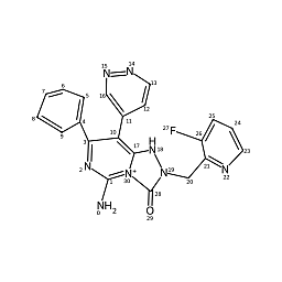 Nc1nc(-c2ccccc2)c(-c2ccnnc2)c2[nH]n(Cc3ncccc3F)c(=O)[n+]12